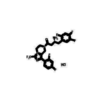 Cl.N[C@@H](CC(=O)N1CCn2c(C(F)(F)F)nc(-c3ccc(F)cc3F)c2C1)Cc1cc(F)c(F)cc1F